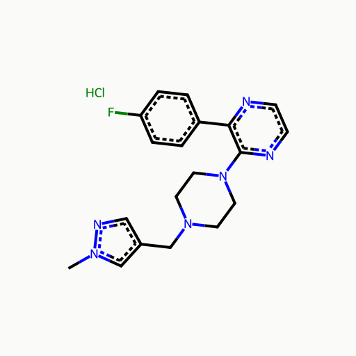 Cl.Cn1cc(CN2CCN(c3nccnc3-c3ccc(F)cc3)CC2)cn1